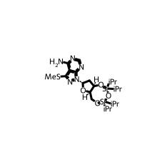 CSc1nn([C@@H]2C[C@H]3O[Si](C(C)C)(C(C)C)O[Si](C(C)C)(C(C)C)OC[C@H]3O2)c2ncnc(N)c12